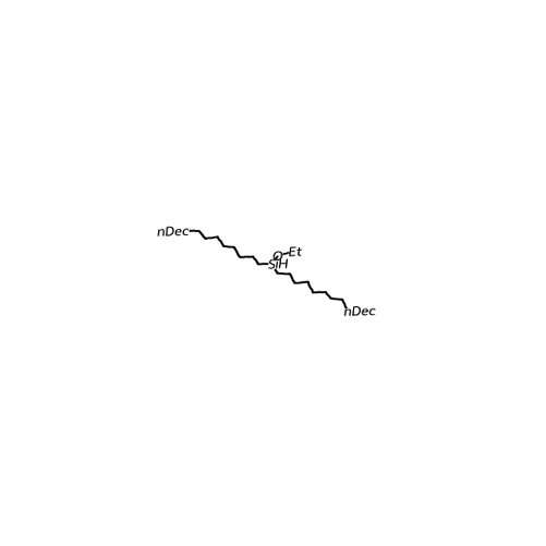 CCCCCCCCCCCCCCCCCC[SiH](CCCCCCCCCCCCCCCCCC)OCC